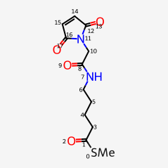 CSC(=O)CCCCNC(=O)CN1C(=O)C=CC1=O